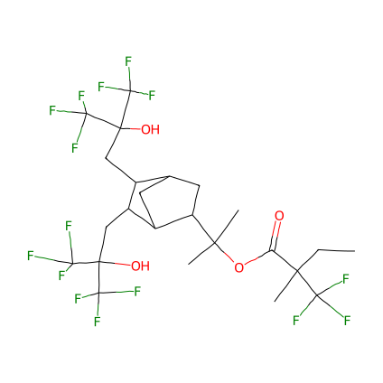 CCC(C)(C(=O)OC(C)(C)C1CC2CC1C(CC(O)(C(F)(F)F)C(F)(F)F)C2CC(O)(C(F)(F)F)C(F)(F)F)C(F)(F)F